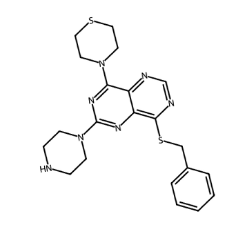 c1ccc(CSc2ncnc3c(N4CCSCC4)nc(N4CCNCC4)nc23)cc1